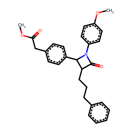 COC(=O)Cc1ccc(C2C(CCCc3ccccc3)C(=O)N2c2ccc(OC)cc2)cc1